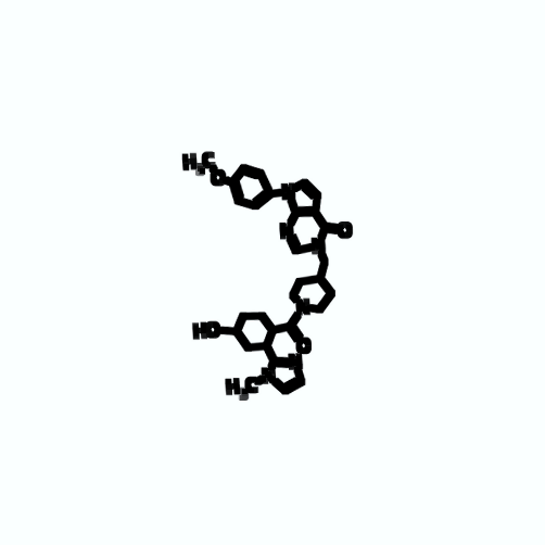 COc1ccc(-n2ccc3c(=O)n(CC4CCN(C(=O)C5CCC(O)CC5c5nccn5C)CC4)cnc32)cc1